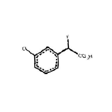 O=C(O)C(F)c1cccc(Cl)c1